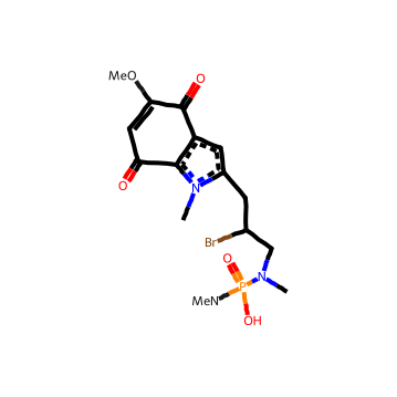 CNP(=O)(O)N(C)CC(Br)Cc1cc2c(n1C)C(=O)C=C(OC)C2=O